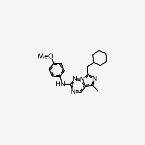 COc1ccc(Nc2ncc3c(C)nc(CC4CCCCC4)n3n2)cc1